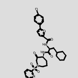 O=C(NC(CC1CCCCC1)C(=O)N[C@H]1CCCN(S(=O)(=O)c2ccccn2)CC1=O)c1ccc(-c2ccc(Cl)cc2)o1